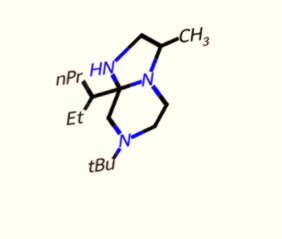 CCCC(CC)C12CN(C(C)(C)C)CCN1C(C)CN2